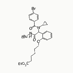 CCOC(=O)CCCCCOc1ccccc1C(C(=O)NC(C)(C)C)N(C(=O)c1ccc(Br)cc1)C1CC1